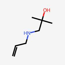 C=CCNCC(C)(C)O